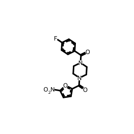 O=C(c1ccc(F)cc1)N1CCN(C(=O)c2ccc([N+](=O)[O-])o2)CC1